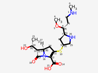 CNCC[C@@H](OC)[C@@H]1C[C@H](SC2=C(C(=O)O)N3C(=O)[C@H]([C@@H](C)O)[C@H]3C2)CN1